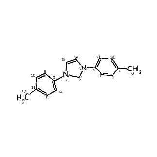 Cc1ccc(N2[C]N(c3ccc(C)cc3)C=C2)cc1